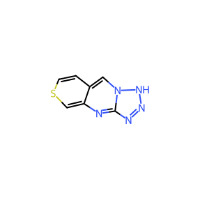 C1=CC2=CN3NN=NC3=NC2=CS1